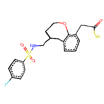 O=C(S)Cc1cccc2c1OCCC2CNS(=O)(=O)c1ccc(F)cc1